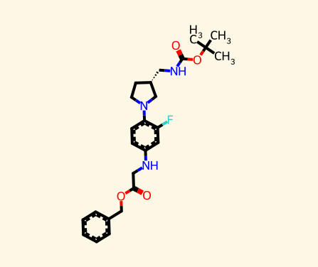 CC(C)(C)OC(=O)NC[C@H]1CCN(c2ccc(NCC(=O)OCc3ccccc3)cc2F)C1